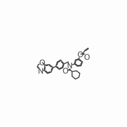 C=CC(=O)Oc1cccc(N(Cc2ccc(-c3ccc4c(c3)OCC=N4)cc2)C(=O)C2CCCCC2)c1